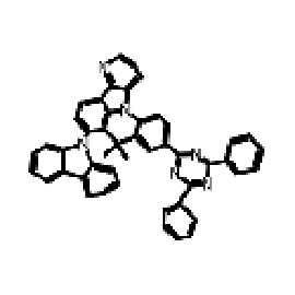 CC1(C)c2cc(-c3nc(-c4ccccc4)nc(-c4ccccc4)n3)ccc2-n2c3cccnc3c3ccc(-n4c5ccccc5c5ccccc54)c1c32